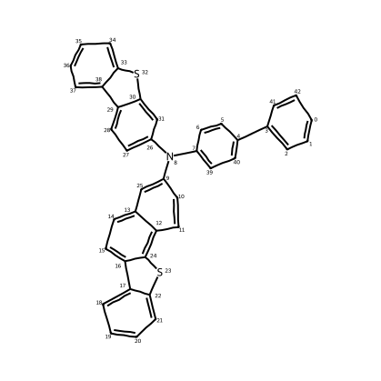 c1ccc(-c2ccc(N(c3ccc4c(ccc5c6ccccc6sc45)c3)c3ccc4c(c3)sc3ccccc34)cc2)cc1